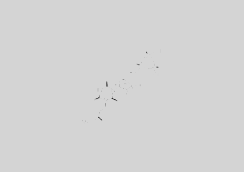 COC(=O)COn1c(=O)[nH]c(=O)n([C@@H]2O[C@H](COP3(=O)OP(=O)(O)OP(=O)(O)O3)[C@H](O)C2O)c1=O